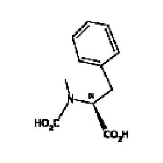 CN(C(=O)O)[C@@H](Cc1ccccc1)C(=O)O